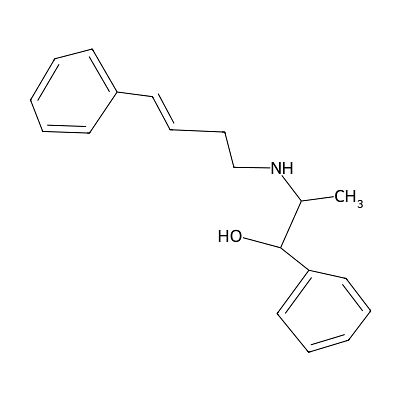 CC(NCCC=Cc1ccccc1)C(O)c1ccccc1